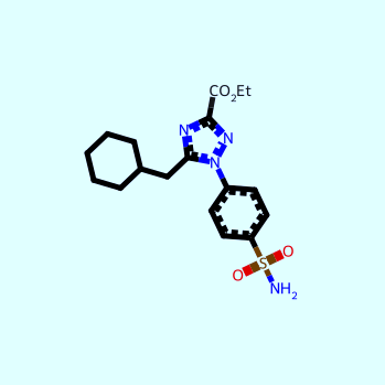 CCOC(=O)c1nc(CC2CCCCC2)n(-c2ccc(S(N)(=O)=O)cc2)n1